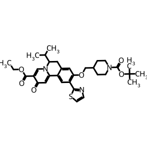 CCOC(=O)c1cn2c(cc1=O)-c1cc(-c3nccs3)c(OCC3CCN(C(=O)OC(C)(C)C)CC3)cc1CC2C(C)C